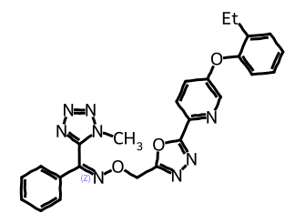 CCc1ccccc1Oc1ccc(-c2nnc(CO/N=C(/c3ccccc3)c3nnnn3C)o2)nc1